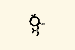 CCN(C/C1=C(\O)CCC(C)(C)/C=C\CC1)C(C)C